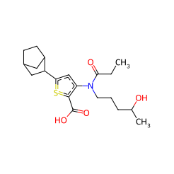 CCC(=O)N(CCCC(C)O)c1cc(C2CC3CCC2C3)sc1C(=O)O